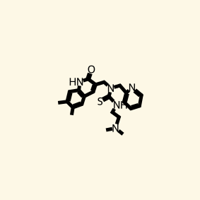 Cc1cc2cc(CN(Cc3ccccn3)C(=S)NCCN(C)C)c(=O)[nH]c2cc1C